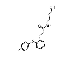 Cc1ccc(Sc2ccccc2CCC(=O)NCCCCO)cc1